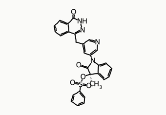 C[C@]1(OS(=O)(=O)c2ccccc2)C(=O)N(c2cncc(Cc3n[nH]c(=O)c4ccccc34)c2)c2ccccc21